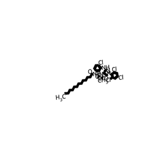 CCCCCCCCCCCCCC(=O)Nc1ccc(Cl)c(NC2=NN(c3c(Cl)cc(Cl)cc3Cl)C(=O)C2NS(C)(=O)=O)c1